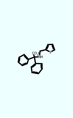 O=C(O)C(NCc1cccs1)(c1ccccc1)c1ccccc1